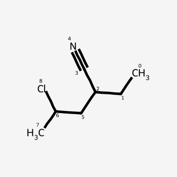 CCC(C#N)CC(C)Cl